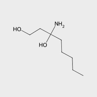 CCCCCC(N)(O)CCO